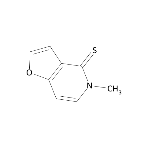 Cn1ccc2occc2c1=S